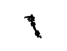 CC(N)(CF)[C@H](NC(=O)c1ccc(C#Cc2ccc(N)cc2)cc1)C(=O)NO